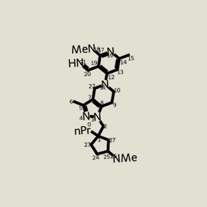 CCCC1(Cn2nc(C)c3c2CCN(c2cc(C)nc(NC)c2C=N)C3)CCC(NC)C1